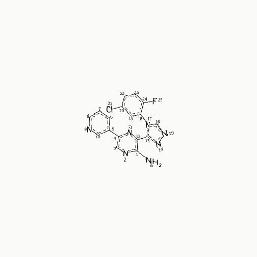 Nc1ncc(-c2cccnc2)nc1-c1nncn1-c1cc(Cl)ccc1F